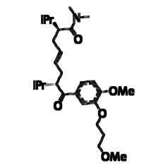 COCCCOc1cc(C(=O)[C@@H](C/C=C/C[C@H](C(=O)N(C)C)C(C)C)C(C)C)ccc1OC